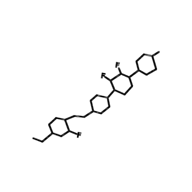 CCC1CCC(CCC2CCC(C3CCC(C4CCC(C)CC4)C(F)C3F)CC2)C(F)C1